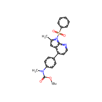 Cc1cc2c(-c3ccc(N(C)C(=O)OC(C)(C)C)cc3)ccnc2n1S(=O)(=O)c1ccccc1